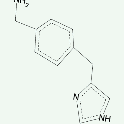 NCc1ccc(Cc2c[nH]cn2)cc1